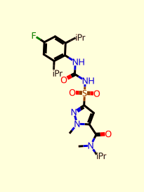 CC(C)c1cc(F)cc(C(C)C)c1NC(=O)NS(=O)(=O)c1cc(C(=O)N(C)C(C)C)n(C)n1